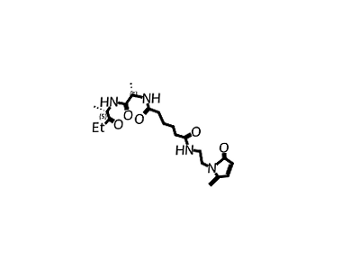 C=C1C=CC(=O)N1CCNC(=O)CCCCC(=O)N[C@@H](C)C(=O)N[C@@H](C)C(=O)CC